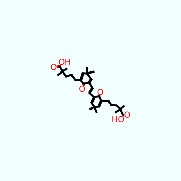 CC1(C)C=C(C=CC2=CC(C)(C)C=C(CCCC(C)(C)C(=O)O)C2=O)C(=O)C(CCCC(C)(C)C(=O)O)=C1